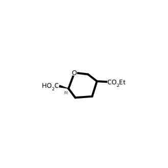 CCOC(=O)C1CC[C@@H](C(=O)O)OC1